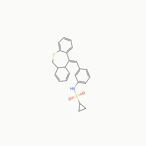 O=S(=O)(Nc1cccc(/C=C2/c3ccccc3SCC3C=CC=CC23)c1)C1CC1